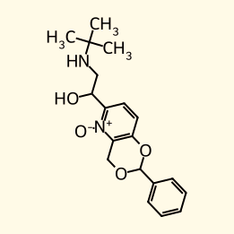 CC(C)(C)NCC(O)c1ccc2c([n+]1[O-])COC(c1ccccc1)O2